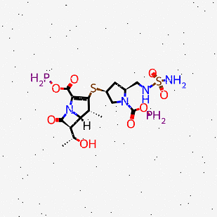 C[C@@H](O)[C@H]1C(=O)N2C(C(=O)OP)=C(S[C@H]3C[C@@H](CNS(N)(=O)=O)N(C(=O)OP)C3)[C@H](C)[C@H]12